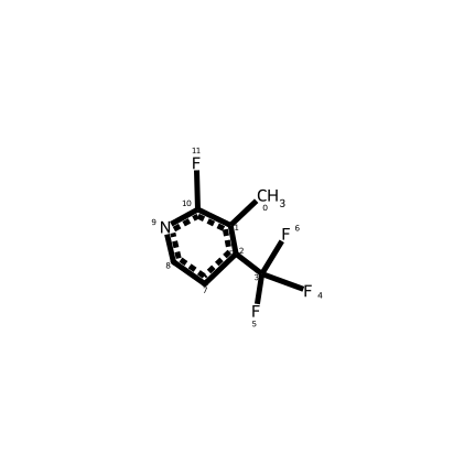 Cc1c(C(F)(F)F)ccnc1F